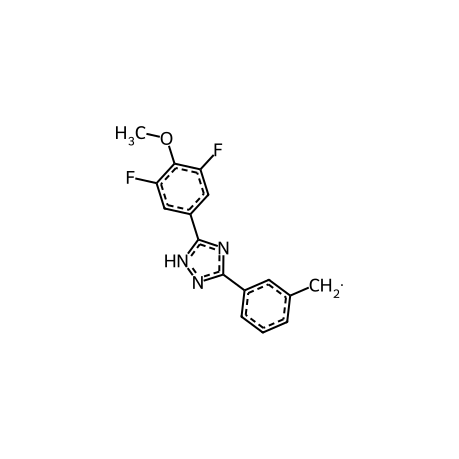 [CH2]c1cccc(-c2n[nH]c(-c3cc(F)c(OC)c(F)c3)n2)c1